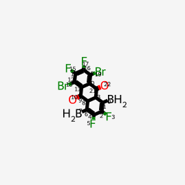 BC1=C(F)C(F)=C(B)C2C(=O)c3c(Br)c(F)c(F)c(Br)c3C(=O)C12